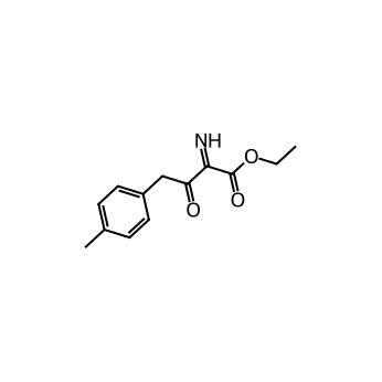 CCOC(=O)C(=N)C(=O)Cc1ccc(C)cc1